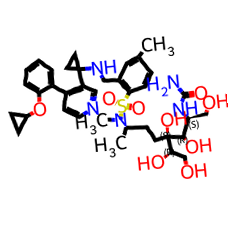 Cc1ccc(S(=O)(=O)N(C)C(C)CC[C@@](O)([C@H](O)CO)[C@H](O)[C@H](CO)NC(N)=O)c(CNC2(c3cnccc3-c3ccccc3OC3CC3)CC2)c1